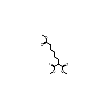 COC(=O)CCCCCC(C(=O)OC)C(=O)OC